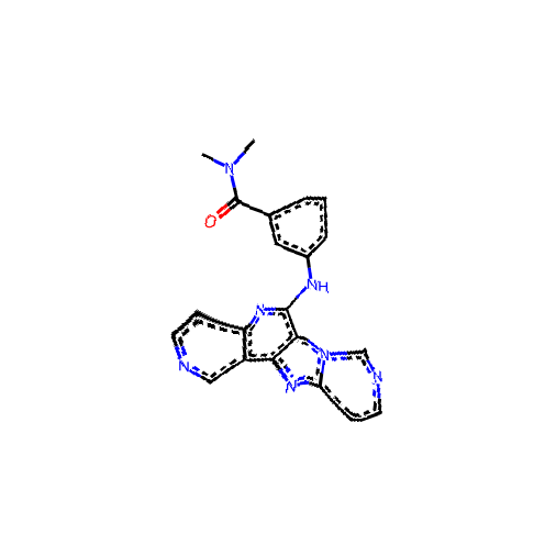 CN(C)C(=O)c1cccc(Nc2nc3ccncc3c3nc4ccncn4c23)c1